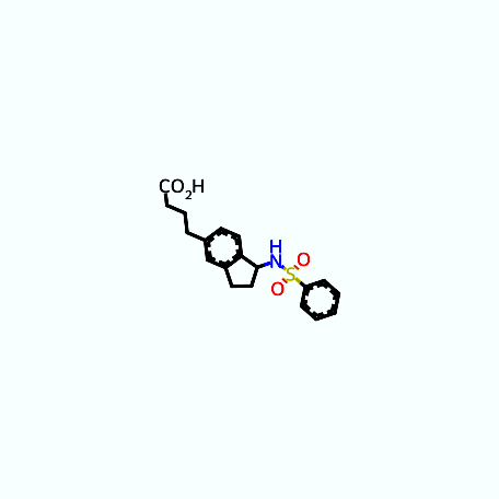 O=C(O)CCCc1ccc2c(c1)CCC2NS(=O)(=O)c1ccccc1